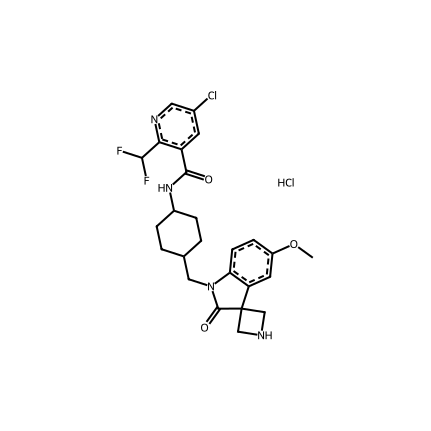 COc1ccc2c(c1)C1(CNC1)C(=O)N2CC1CCC(NC(=O)c2cc(Cl)cnc2C(F)F)CC1.Cl